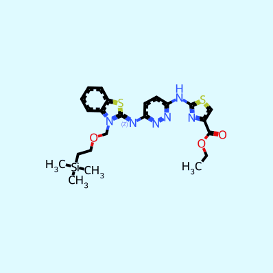 CCOC(=O)c1csc(Nc2ccc(/N=c3\sc4ccccc4n3COCC[Si](C)(C)C)nn2)n1